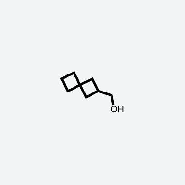 OCC1CC2(CCC2)C1